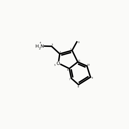 Cc1c(CN)oc2ccccc12